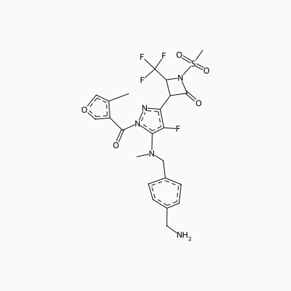 Cc1cocc1C(=O)n1nc(C2C(=O)N(S(C)(=O)=O)C2C(F)(F)F)c(F)c1N(C)Cc1ccc(CN)cc1